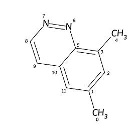 Cc1cc(C)c2nnccc2c1